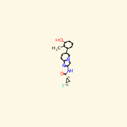 Cc1c(O)cccc1-c1ccc2nc(NC(=O)[C@@H]3C[C@@H]3F)cn2c1